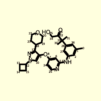 Cc1cc(Nc2cc(Oc3cn(C4CCC4)nc3C3CCOCC3)ccn2)cc(C(C)(C)C(=O)CO)c1